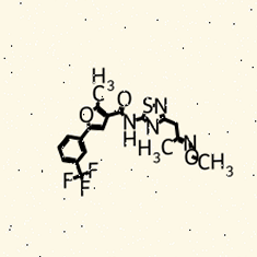 CO/N=C(\C)Cc1nsc(NC(=O)c2cc(-c3cccc(C(F)(F)F)c3)oc2C)n1